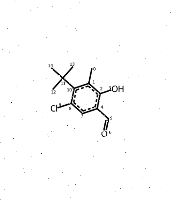 Cc1c(O)c(C=O)cc(Cl)c1C(C)(C)C